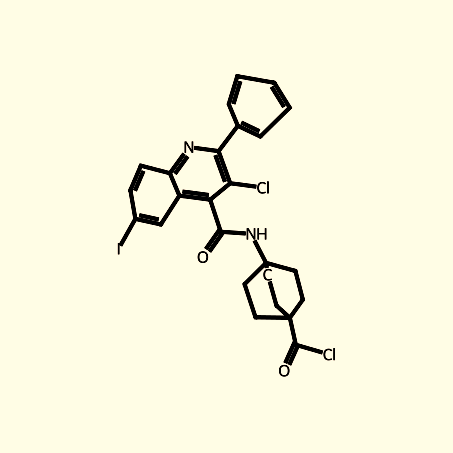 O=C(NC12CCC(C(=O)Cl)(CC1)CC2)c1c(Cl)c(-c2ccccc2)nc2ccc(I)cc12